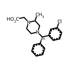 CC1CN([C@H](c2ccccc2)c2cccc(Cl)c2)CCN1CC(=O)O